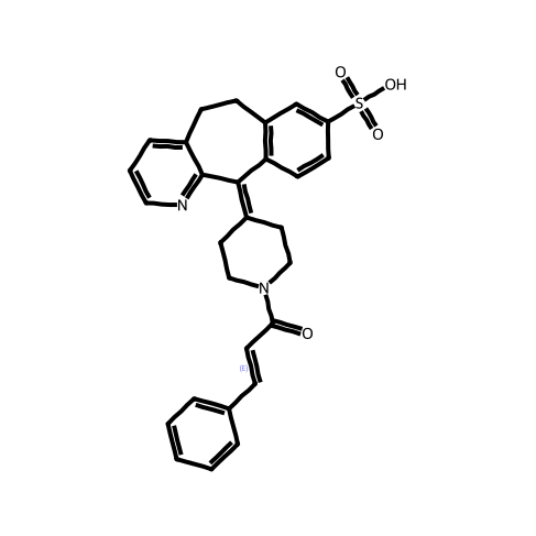 O=C(/C=C/c1ccccc1)N1CCC(=C2c3ccc(S(=O)(=O)O)cc3CCc3cccnc32)CC1